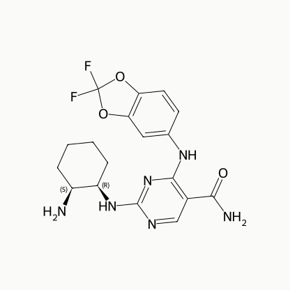 NC(=O)c1cnc(N[C@@H]2CCCC[C@@H]2N)nc1Nc1ccc2c(c1)OC(F)(F)O2